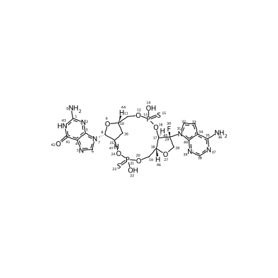 Nc1nc2c(ncn2[C@@H]2O[C@@H]3COP(O)(=S)O[C@@H]4[C@@H](COP(O)(=S)O[C@@H]2C3)OC[C@@]4(F)n2ccc3c(N)ncnc32)c(=O)[nH]1